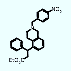 CCOC(=O)CC(c1ccccc1)c1cccc2c1CCN(Cc1ccc([N+](=O)[O-])cc1)C2